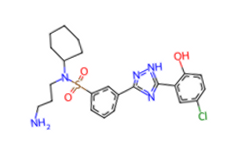 NCCCN(C1CCCCC1)S(=O)(=O)c1cccc(-c2n[nH]c(-c3cc(Cl)ccc3O)n2)c1